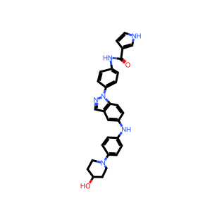 O=C(Nc1ccc(-n2ncc3cc(Nc4ccc(N5CCC(O)CC5)cc4)ccc32)cc1)c1cc[nH]c1